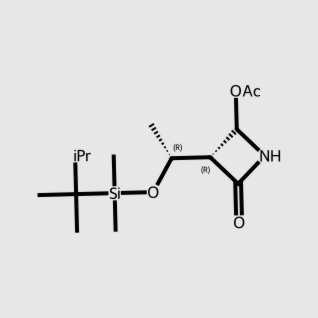 CC(=O)OC1NC(=O)[C@@H]1[C@@H](C)O[Si](C)(C)C(C)(C)C(C)C